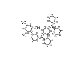 N#Cc1cc(C#N)c(-c2cccc(-n3c4ccccc4c4c5c6ccccc6n(-c6ccccc6)c5ccc43)c2)c(C#N)c1